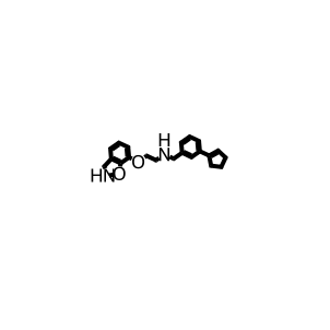 C1=C(c2cccc(CNCCOc3cccc4c3ONC4)c2)CCC1